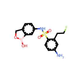 Nc1ccc(S(=O)(=O)Nc2ccc3c(c2)B(O)OC3)c(CCF)c1